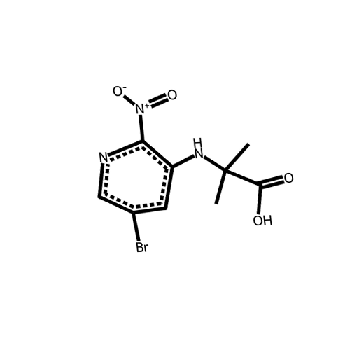 CC(C)(Nc1cc(Br)cnc1[N+](=O)[O-])C(=O)O